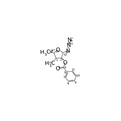 CC1[C@H](OC(=O)c2ccccc2)C(N=[N+]=[N-])O[C@@H]1C